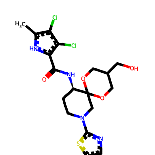 Cc1[nH]c(C(=O)N[C@@H]2CCN(c3nccs3)CC23OCC(CO)CO3)c(Cl)c1Cl